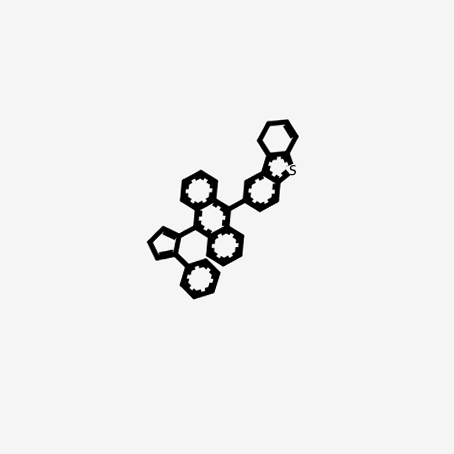 C1=Cc2sc3ccc(-c4c5ccccc5c(C5=CCC=C5c5ccccc5)c5ccccc45)cc3c2CC1